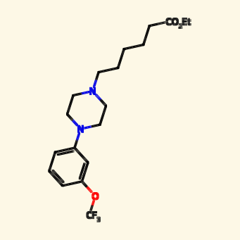 CCOC(=O)CCCCCN1CCN(c2cccc(OC(F)(F)F)c2)CC1